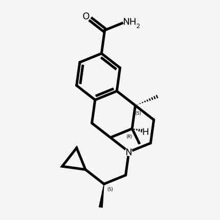 C[C@H](CN1CC[C@]2(C)c3cc(C(N)=O)ccc3CC1[C@@H]2C)C1CC1